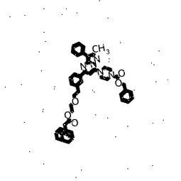 Cc1nn2c(N3CCN(C(=O)OCc4ccccc4)CC3)cc(-c3cccc(CCOCCOC(=O)CC45CC6CC(CC(C6)C4)C5)c3)nc2c1-c1ccccc1